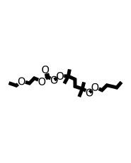 CCCCOOC(C)(C)CCC(C)(C)OOC(=O)OCCOCC